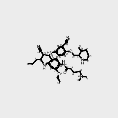 CCCC1Nc2cc(OCC)c(NC(=O)CCCN(C)C)cc2C(Nc2ccc(OCC3NCCCC3C)c(C#N)c2)C1C#N